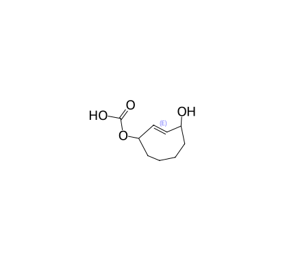 O=C(O)OC1/C=C/C(O)CCCC1